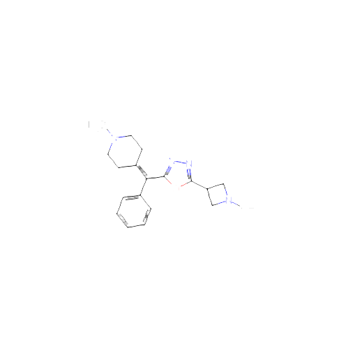 BN1CCC(=C(c2ccccc2)c2nnc(C3CN(C)C3)o2)CC1